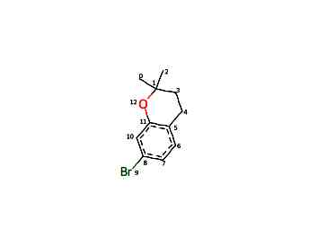 CC1(C)CCc2ccc(Br)cc2O1